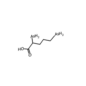 O=C(O)C([AsH2])CCC[AsH2]